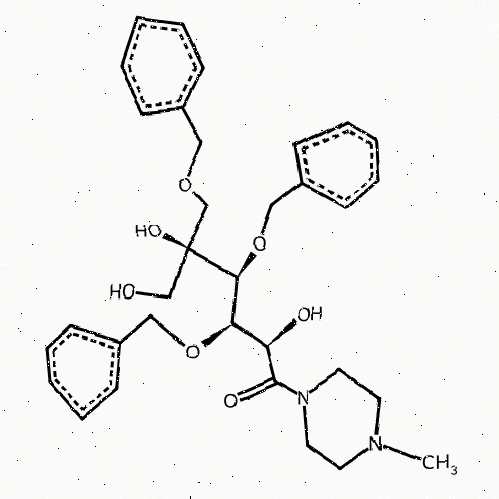 CN1CCN(C(=O)[C@H](O)[C@@H](OCc2ccccc2)[C@H](OCc2ccccc2)[C@](O)(CO)COCc2ccccc2)CC1